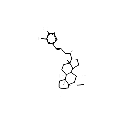 CC[C@H]1[C@@H](O)C2[C@@H]3CC[C@H]([C@H](C)C/C=C/c4cc(F)c(O)c(F)c4)C3(C)CC[C@@H]2[C@@]2(C)CC[C@@H](O)C[C@@H]12